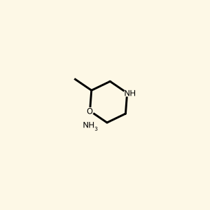 CC1CNCCO1.N